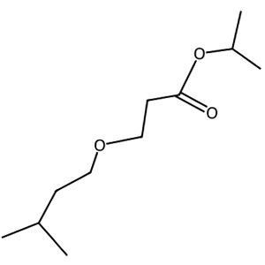 CC(C)CCOCCC(=O)OC(C)C